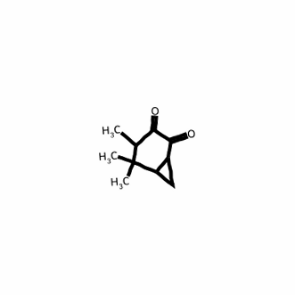 CC1C(=O)C(=O)C2CC2C1(C)C